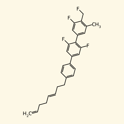 C=CCC/C=C/CCc1ccc(-c2cc(F)c(-c3cc(C)c(CF)c(F)c3)c(F)c2)cc1